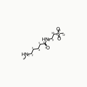 CNCCCCC(=O)NCCS(C)(=O)=O